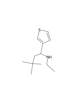 CCNC(CC(C)(C)C)c1ccsc1